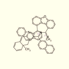 C/N=C(\N=C(/c1ccc2ccccc2c1)C1C=Cc2ccccc2C1)c1cccc2oc3cccc(-c4cccc5c6c(sc45)C=C4C=CC=CC4(C)C6)c3c12